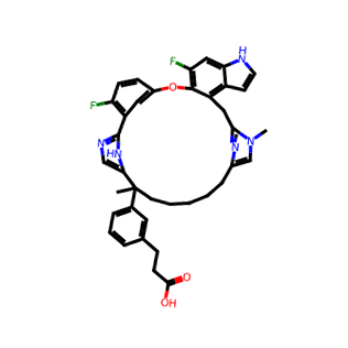 Cn1cc2nc1Cc1c(c(F)cc3[nH]ccc13)Oc1ccc(F)c(c1)-c1ncc([nH]1)C(C)(c1cccc(CCC(=O)O)c1)CCCCC2